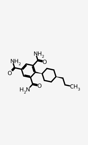 CCC[C@H]1CC[C@@H](c2c(C(N)=O)cc(C(N)=O)cc2C(N)=O)CC1